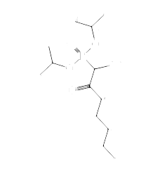 CCCCCC(=O)C(Cl)P(=O)(OC(C)C)OC(C)C